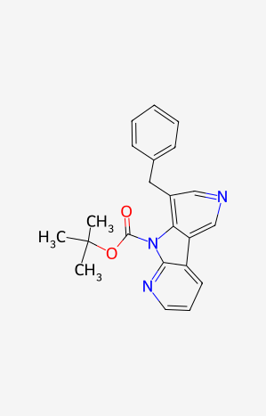 CC(C)(C)OC(=O)n1c2ncccc2c2cncc(Cc3ccccc3)c21